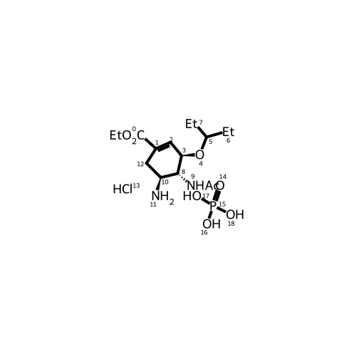 CCOC(=O)C1=C[C@@H](OC(CC)CC)[C@H](NC(C)=O)[C@@H](N)C1.Cl.O=P(O)(O)O